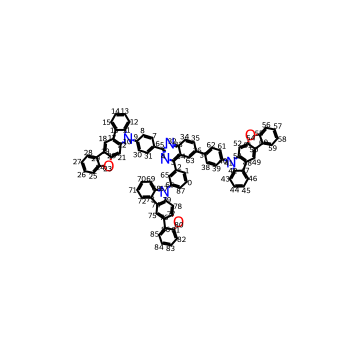 c1cc(-c2nc(-c3ccc(-n4c5ccccc5c5cc6c(cc54)oc4ccccc46)cc3)nc3ccc(-c4ccc(-n5c6ccccc6c6cc7c(cc65)oc5ccccc57)cc4)cc23)cc(-n2c3ccccc3c3cc4c(cc32)oc2ccccc24)c1